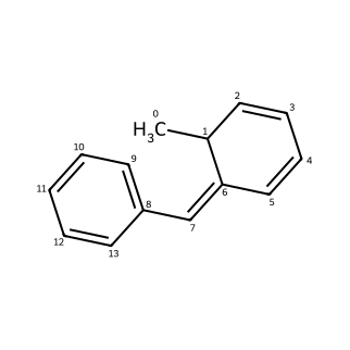 CC1C=CC=C/C1=C/c1ccccc1